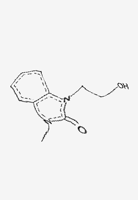 Cn1c(=O)n(CCO)c2ccccc21